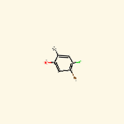 N#Cc1cc(Cl)c(Br)cc1O